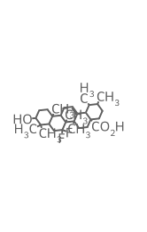 CC1CCC2(C(=O)O)CCC3(C)C(=CCC4C5(C)CCC(O)C(C)(C)C5CC(F)(F)C43C)C2C1C